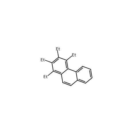 CCc1c(CC)c(CC)c2c(ccc3ccccc32)c1CC